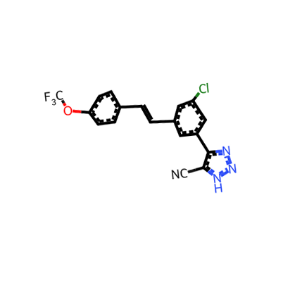 N#Cc1[nH]nnc1-c1cc(Cl)cc(/C=C/c2ccc(OC(F)(F)F)cc2)c1